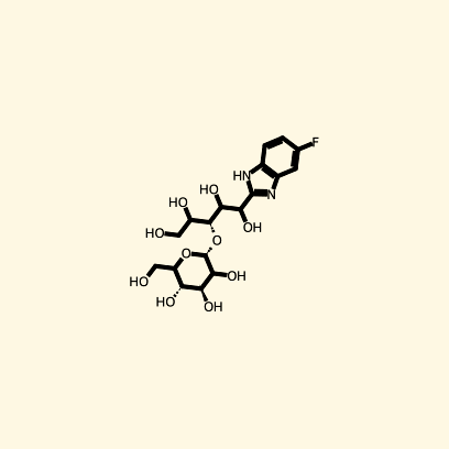 OCC(O)[C@@H](O[C@H]1OC(CO)[C@@H](O)[C@H](O)C1O)C(O)C(O)c1nc2cc(F)ccc2[nH]1